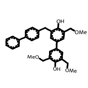 COCc1cc(-c2cc(COC)c(O)c(Cc3ccc(-c4ccccc4)cc3)c2)cc(COC)c1O